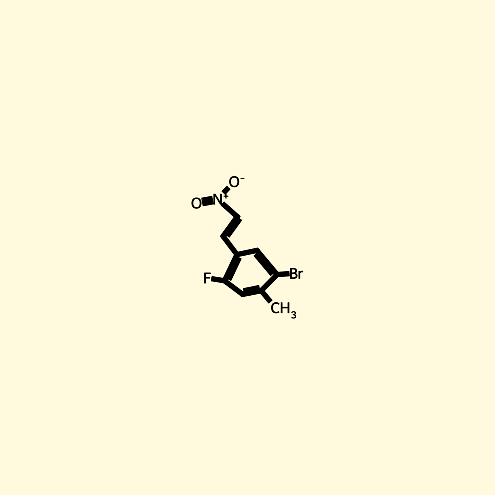 Cc1cc(F)c(C=C[N+](=O)[O-])cc1Br